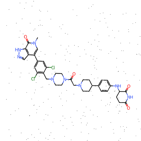 Cn1cc(-c2cc(Cl)c(CN3CCN(C(=O)CN4CCC(c5ccc(NC6CCC(=O)NC6=O)cc5)CC4)CC3)c(Cl)c2)c2cn[nH]c2c1=O